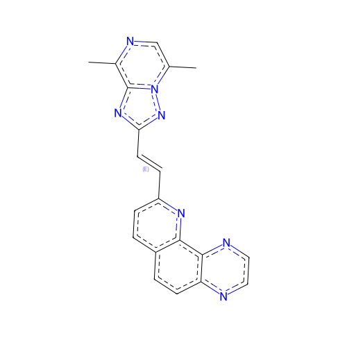 Cc1ncc(C)n2nc(/C=C/c3ccc4ccc5nccnc5c4n3)nc12